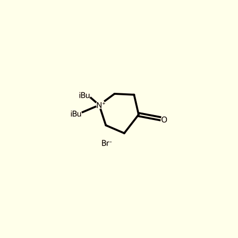 CCC(C)[N+]1(C(C)CC)CCC(=O)CC1.[Br-]